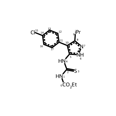 CCOC(=O)NC(=S)Nc1[nH]nc(C(C)C)c1-c1ccc(Cl)cc1